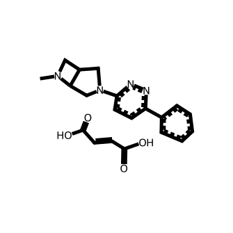 CN1CC2CN(c3ccc(-c4ccccc4)nn3)CC21.O=C(O)C=CC(=O)O